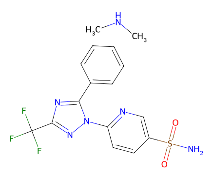 CNC.NS(=O)(=O)c1ccc(-n2nc(C(F)(F)F)nc2-c2ccccc2)nc1